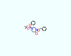 CC(C)(C)OC(=O)N1CCC(=O)N(OCc2ccccc2)C[C@H]1c1ccccc1